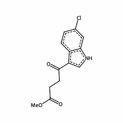 COC(=O)CCC(=O)c1c[nH]c2cc(Cl)ccc12